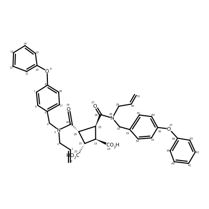 C=CCN(Cc1ccc(Oc2ccccc2)cc1)C(=O)[C@H]1[C@@H](C(=O)O)[C@H](C(=O)O)[C@@H]1C(=O)N(CC=C)Cc1ccc(Oc2ccccc2)cc1